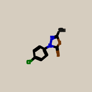 CC(C)(C)c1nn(-c2ccc(Cl)cc2)c(=S)s1